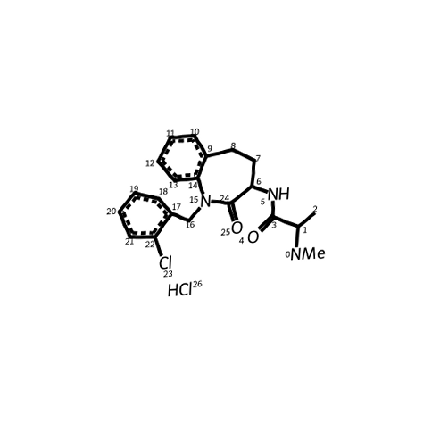 CNC(C)C(=O)NC1CCc2ccccc2N(Cc2ccccc2Cl)C1=O.Cl